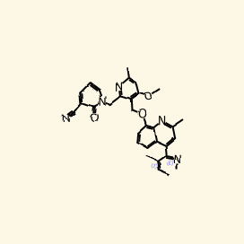 C/C=C(C)\C(=N/C)c1cc(C)nc2c(OCc3c(OC)cc(C)nc3Cn3cccc(C#N)c3=O)cccc12